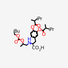 CCC(C)COC(=O)OC(C)CN[C@@H](Cc1ccc(OC(=O)C(C)C(C)C)c(OC(=O)C(C)C(C)C)c1)C(=O)O